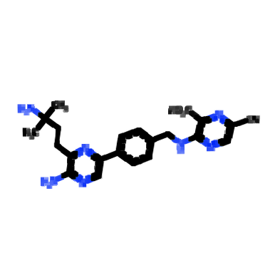 CC(C)(N)CCc1nc(-c2ccc(CNc3ncc(C#N)nc3C(=O)O)cc2)cnc1N